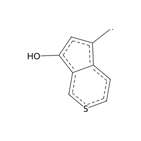 [CH2]c1cc(O)c2csccc1-2